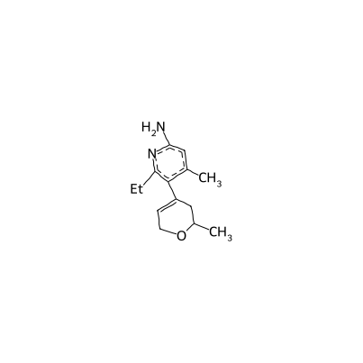 CCc1nc(N)cc(C)c1C1=CCOC(C)C1